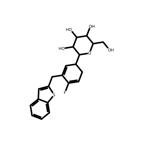 OCC1OC(C2C=C(Cc3cc4ccccc4s3)C(F)=CC2)C(O)C(O)C1O